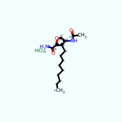 CCCCCCCCCc1c(NC(C)=O)coc1C(N)=O.Cl